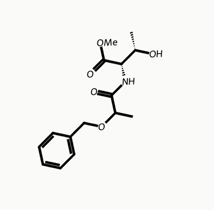 COC(=O)[C@@H](NC(=O)C(C)OCc1ccccc1)[C@H](C)O